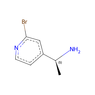 C[C@H](N)c1ccnc(Br)c1